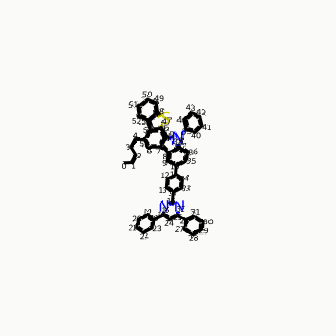 C/C=C\C=C/c1cc2c3cc(-c4ccc(-c5nc(-c6ccccc6)cc(-c6ccccc6)n5)cc4)ccc3n(-c3ccccc3)c2c2sc3ccccc3c12